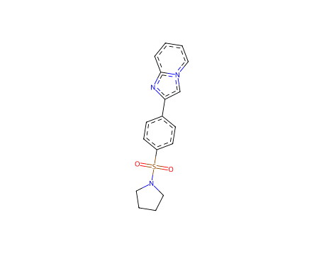 O=S(=O)(c1ccc(-c2cn3ccccc3n2)cc1)N1CCCC1